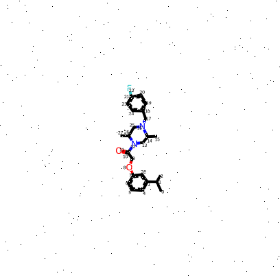 CC(C)c1cccc(OCC(=O)N2CC(C)N(Cc3ccc(F)cc3)CC2C)c1